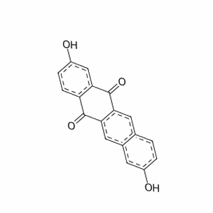 O=C1c2cc(O)ccc2C(=O)c2cc3cc(O)ccc3cc21